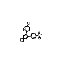 CS(=O)(=O)c1ccc(C2=CC3(C=C2c2ccc(Cl)cn2)CCC3)cc1